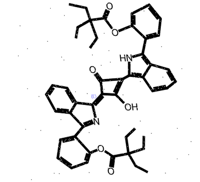 CCC(CC)(CC)C(=O)Oc1ccccc1C1=N/C(=C2/C(=O)C(c3[nH]c(-c4ccccc4OC(=O)C(CC)(CC)CC)c4ccccc34)=C2O)c2ccccc21